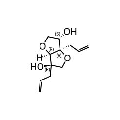 C=CC[C@@]1(O)CO[C@@]2(CC=C)[C@@H]1OC[C@@H]2O